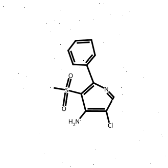 CS(=O)(=O)c1c(-c2ccccc2)ncc(Cl)c1N